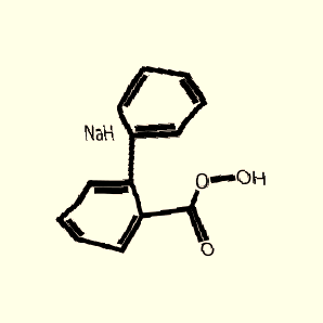 O=C(OO)c1ccccc1-c1ccccc1.[NaH]